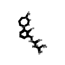 CC(=O)N1CCCN(c2cccc(COC(=O)NC(=N)N)c2F)CC1